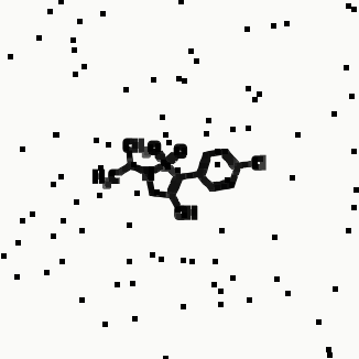 CC(C)N1CC(O)=C(c2ccc(Cl)cc2)S1(=O)=O